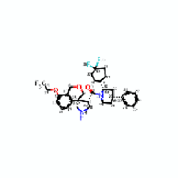 O=C([C@@H]1CNC[C@]12COCc1c(OCC(F)(F)F)cccc12)N1CC[C@@H](c2ccccc2)C[C@H]1C1CCC(F)(F)CC1